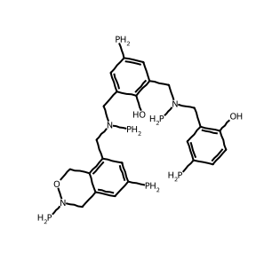 Oc1ccc(P)cc1CN(P)Cc1cc(P)cc(CN(P)Cc2cc(P)cc3c2CON(P)C3)c1O